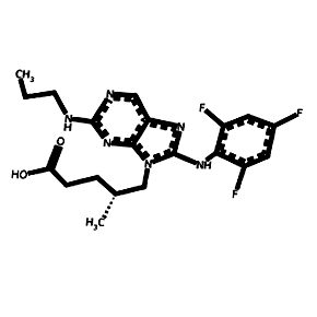 CCCNc1ncc2nc(Nc3c(F)cc(F)cc3F)n(C[C@H](C)CCC(=O)O)c2n1